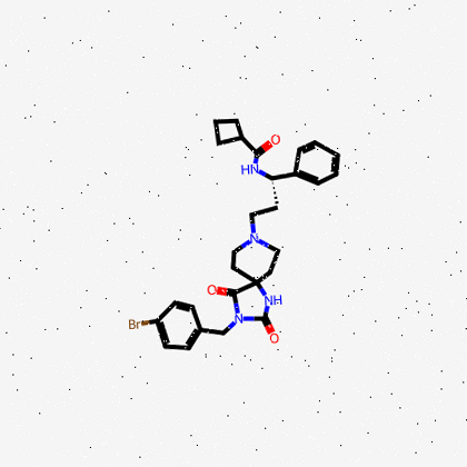 O=C(N[C@@H](CCN1CCC2(CC1)NC(=O)N(Cc1ccc(Br)cc1)C2=O)c1ccccc1)C1CCC1